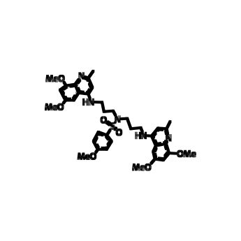 COc1ccc(S(=O)(=O)N(CCCNc2cc(C)nc3c(OC)cc(OC)cc23)CCCNc2cc(C)nc3c(OC)cc(OC)cc23)cc1